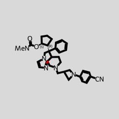 CNC(=O)O[C@H]1CCC[C@@H]1C(Cn1ccnc1)(c1ccccc1)C1CCN(CC2CN(c3ccc(C#N)cc3)C2)CC1